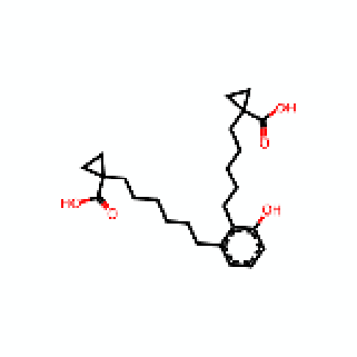 O=C(O)C1(CCCCCCc2cccc(O)c2CCCCCC2(C(=O)O)CC2)CC1